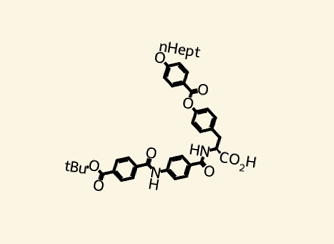 CCCCCCCOc1ccc(C(=O)Oc2ccc(C[C@H](NC(=O)c3ccc(NC(=O)c4ccc(C(=O)OC(C)(C)C)cc4)cc3)C(=O)O)cc2)cc1